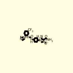 NC(=O)c1c(N)n(-c2ccc(NC(=O)Nc3cc(C(F)(F)F)ccc3-n3ccnn3)cc2)c[n+]1[O-]